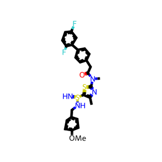 COc1ccc(CNS(=N)c2sc(N(C)C(=O)Cc3ccc(-c4cc(F)ccc4F)cc3)nc2C)cc1